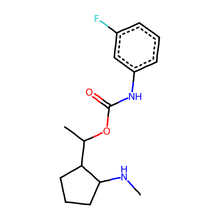 CNC1CCCC1C(C)OC(=O)Nc1cccc(F)c1